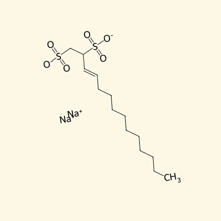 CCCCCCCCCCC=CC(CS(=O)(=O)[O-])S(=O)(=O)[O-].[Na+].[Na+]